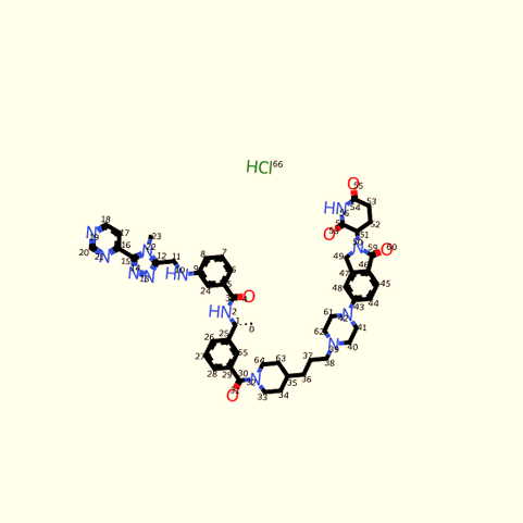 C[C@@H](NC(=O)c1cccc(NCc2nnc(-c3ccncn3)n2C)c1)c1cccc(C(=O)N2CCC(CCCN3CCN(c4ccc5c(c4)CN(C4CCC(=O)NC4=O)C5=O)CC3)CC2)c1.Cl